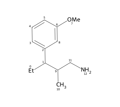 CCC(c1cccc(OC)c1)C(C)CN